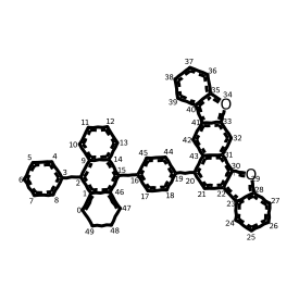 C1=c2c(-c3ccccc3)c3ccccc3c(-c3ccc(-c4cc5c6ccccc6oc5c5cc6oc7ccccc7c6cc45)cc3)c2=CCC1